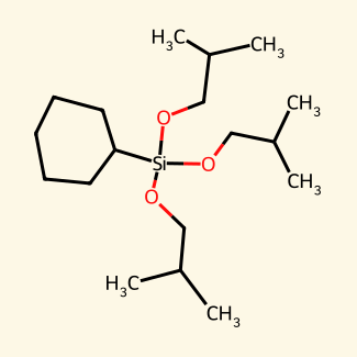 CC(C)CO[Si](OCC(C)C)(OCC(C)C)C1CCCCC1